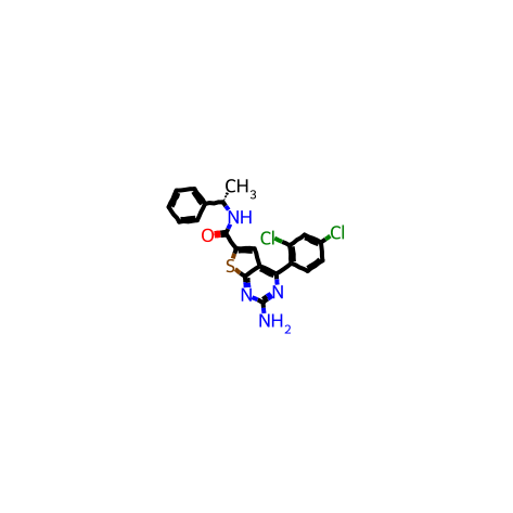 C[C@H](NC(=O)c1cc2c(-c3ccc(Cl)cc3Cl)nc(N)nc2s1)c1ccccc1